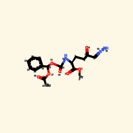 CC(C)OC(=O)[C@H](CCC(=O)C=[N+]=N)NC(=O)OC(OC(=O)C(C)(C)C)c1ccccc1